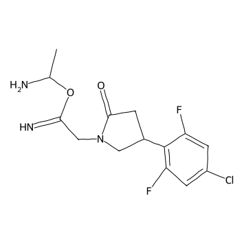 CC(N)OC(=N)CN1CC(c2c(F)cc(Cl)cc2F)CC1=O